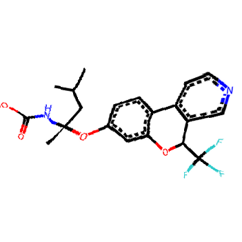 CC(C)C[C@@](C)(NC(=O)O)Oc1ccc2c(c1)OC(C(F)(F)F)c1cnccc1-2